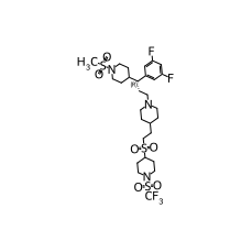 CS(=O)(=O)N1CCC([C@@H](CCN2CCC(CCS(=O)(=O)C3CCN(S(=O)(=O)C(F)(F)F)CC3)CC2)c2cc(F)cc(F)c2)CC1